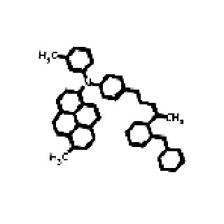 CC1CCCC(N(C2CC=C(CCCC(C)C3CCCCC3CC3CCCCC3)CC2)C2CCC3CCC4C(C)CCC5CCC2C3C54)C1